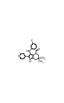 CC1(C)Cc2[nH]c(-c3ccncc3)c(Nc3cccc(F)c3)c2C(C=O)C1